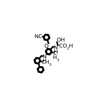 Cc1cc(NCc2cccc(-c3ccccc3)c2C)cc(OCc2cccc(C#N)c2)c1CN[C@H](CO)C(=O)O